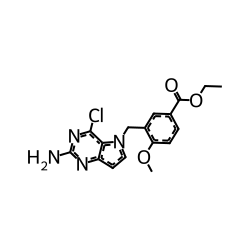 CCOC(=O)c1ccc(OC)c(Cn2ccc3nc(N)nc(Cl)c32)c1